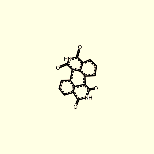 O=c1[nH]c(=O)c2c3cccc4c(=O)[nH]c(=O)c(c5cccc1c52)c43